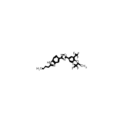 C=CCCc1nc2cc(-c3noc(-c4ccc(OC(C)C(F)(F)F)c(C(F)(F)F)c4)n3)ccc2[nH]1